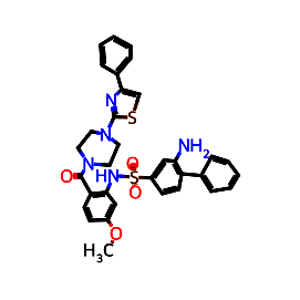 COc1ccc(C(=O)N2CCN(c3nc(-c4ccccc4)cs3)CC2)c(NS(=O)(=O)c2ccc(-c3ccccc3)c(N)c2)c1